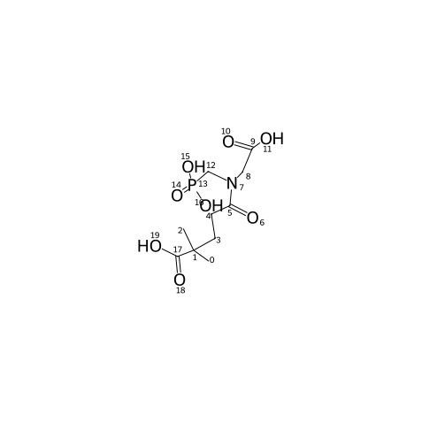 CC(C)(CCC(=O)N(CC(=O)O)CP(=O)(O)O)C(=O)O